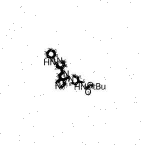 CC(C)(C)OC(=O)NCC1CCN(c2nc(-c3ccnc(NC4CCCCC4)c3)cc3cnccc23)CC1